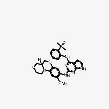 COc1cc2c(cc1Nc1nc(Nc3ccccc3P(C)(C)=O)c3cc[nH]c3n1)OC[C@H]1COCCN21